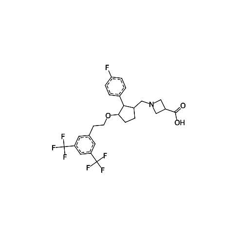 O=C(O)C1CN(CC2CCC(OCCc3cc(C(F)(F)F)cc(C(F)(F)F)c3)C2c2ccc(F)cc2)C1